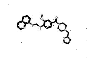 COc1cc(C(=O)N2CCN(CC3CCCO3)CC2)ccc1NCSc1cccc2cccnc12